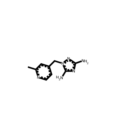 Cc1cc(Cn2nc(N)nc2N)ccn1